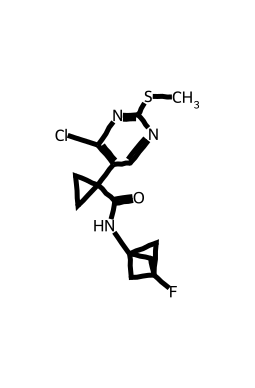 CSc1ncc(C2(C(=O)NC34CC(F)(C3)C4)CC2)c(Cl)n1